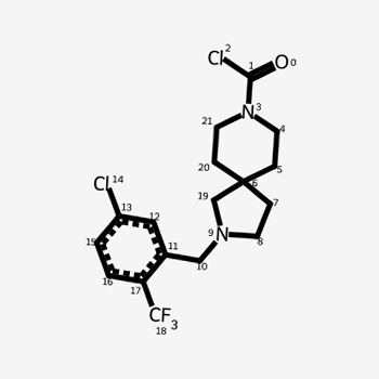 O=C(Cl)N1CCC2(CCN(Cc3cc(Cl)ccc3C(F)(F)F)C2)CC1